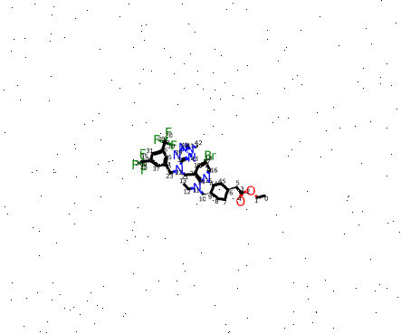 CCOC(=O)C[C@H]1CC[C@H](CN(CC)c2ncc(Br)cc2CN(Cc2cc(C(F)(F)F)cc(C(F)(F)F)c2)c2nnn(C)n2)CC1